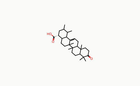 CC1C[C@@H](C(=O)O)C2CCC3(C)C(=CCC4C5(C)CCC(=O)C(C)(C)C5CCC43C)C2C1C